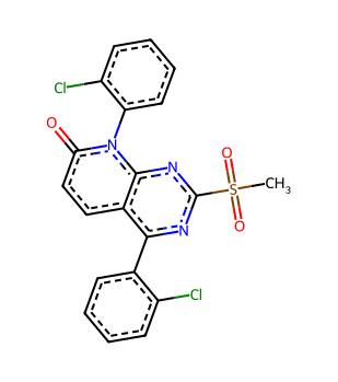 CS(=O)(=O)c1nc(-c2ccccc2Cl)c2ccc(=O)n(-c3ccccc3Cl)c2n1